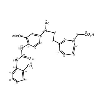 COc1cc(N(CCC2=CN(CC(=O)O)C=CC=C2)C(C)=O)ccc1NC(=O)Nc1ccccc1C